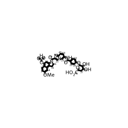 COc1ccc2c(O[SH](=O)=O)cc3c(c2c1)CCN3C(=O)c1cn2cc(NC(=O)c3ccc(O[C@@H]4OC(C(=O)O)C[C@H](O)[C@H]4O)cc3)ccc2n1